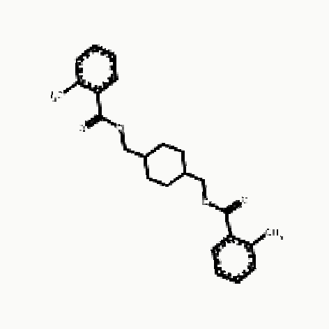 Cc1ccccc1C(=O)OCC1CCC(COC(=O)c2ccccc2C)CC1